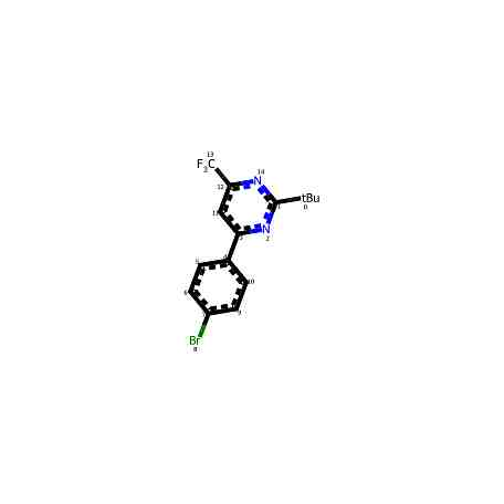 CC(C)(C)c1nc(-c2ccc(Br)cc2)cc(C(F)(F)F)n1